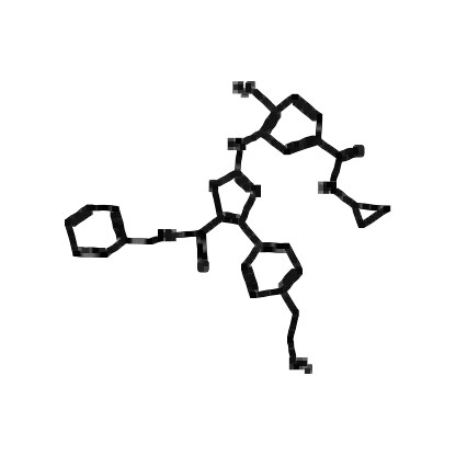 Cc1ccc(C(=O)NC2CC2)cc1Nc1nc(-c2ccc(CCN)cc2)c(C(=O)NCc2ccccc2)s1